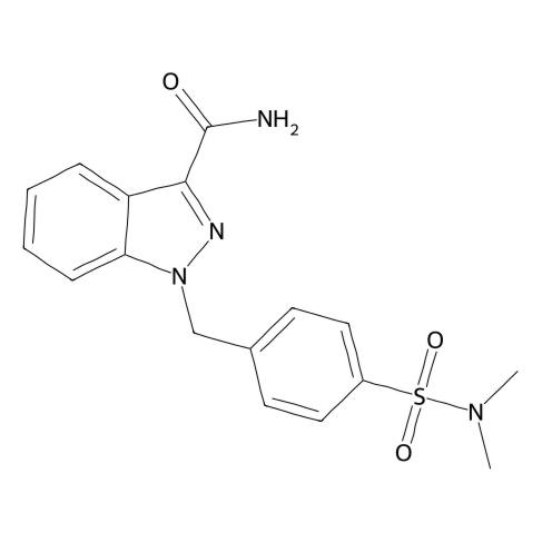 CN(C)S(=O)(=O)c1ccc(Cn2nc(C(N)=O)c3ccccc32)cc1